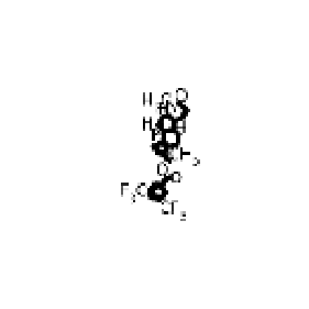 CN1C(=O)CC[C@]2(C)[C@H]3CC[C@]4(C)C(COC(=O)c5cc(C(F)(F)F)cc(C(F)(F)F)c5)CC[C@H]4[C@@H]3CC[C@@H]12